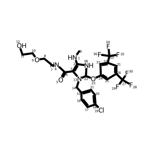 CNC1=C(C(=O)NCCOCCO)N(Cc2ccc(Cl)cc2)C(Oc2cc(C(F)(F)F)cc(C(F)(F)F)c2)N1